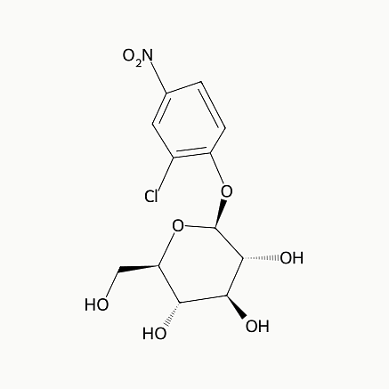 O=[N+]([O-])c1ccc(O[C@@H]2O[C@H](CO)[C@@H](O)[C@H](O)[C@H]2O)c(Cl)c1